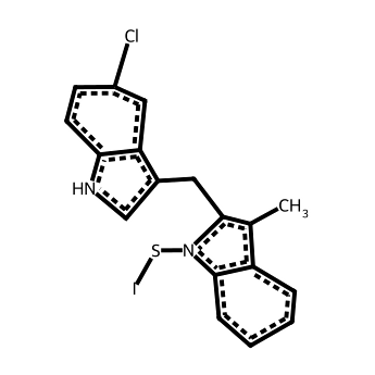 Cc1c(Cc2c[nH]c3ccc(Cl)cc23)n(SI)c2ccccc12